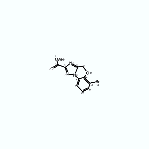 COC(=O)c1nc2n(n1)-c1cccc(Br)c1OC2